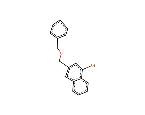 Sc1cc(COCc2ccccc2)[c]c2ccccc12